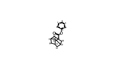 O=C(Oc1[c]cccc1)C12CC3CC(CC(C3)C1)C2